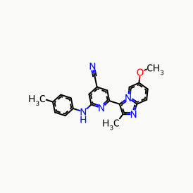 COc1ccc2nc(C)c(-c3cc(C#N)cc(Nc4ccc(C)cc4)n3)n2c1